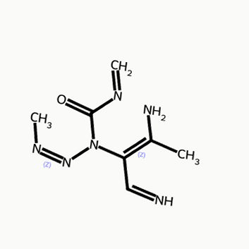 C=NC(=O)N(/N=N\C)/C(C=N)=C(/C)N